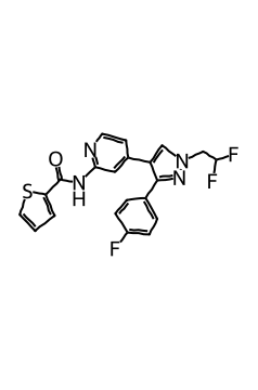 O=C(Nc1cc(-c2cn(CC(F)F)nc2-c2ccc(F)cc2)ccn1)c1cccs1